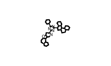 c1ccc(-c2nc(-c3cc4oc5ccc6ccccc6c5c4cn3)nc(-c3cc4ccc5ccccc5c4c4ccccc34)n2)cc1